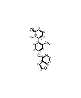 COc1cc(Oc2nccc3occc23)ccc1-c1cccc(=O)n1C